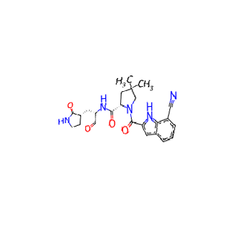 CC1(C)C[C@@H](C(=O)N[C@H](C=O)C[C@@H]2CCNC2=O)N(C(=O)c2cc3cccc(C#N)c3[nH]2)C1